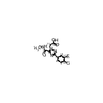 CNC(=O)c1nc(-c2ccc(Cl)c(F)c2)nn1CC(=O)O